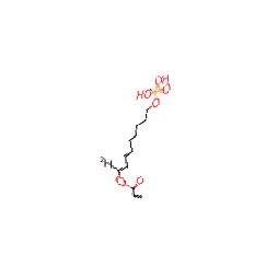 [2H]C(CCCCCCCCOP(=O)(O)O)OC(=O)C=C